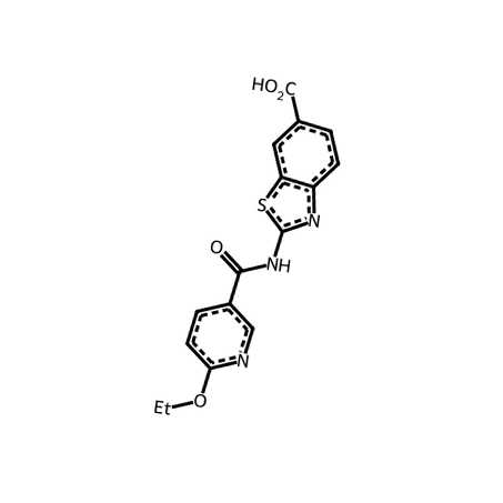 CCOc1ccc(C(=O)Nc2nc3ccc(C(=O)O)cc3s2)cn1